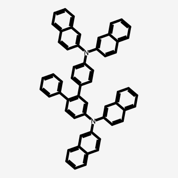 c1ccc(-c2ccc(N(c3ccc4ccccc4c3)c3ccc4ccccc4c3)cc2-c2ccc(N(c3ccc4ccccc4c3)c3ccc4ccccc4c3)cc2)cc1